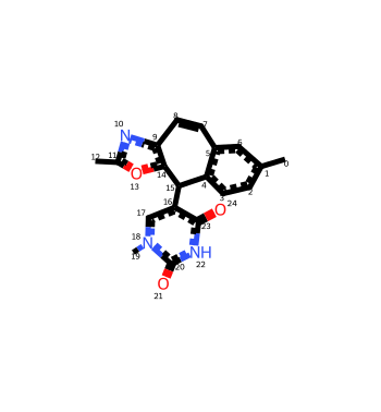 Cc1ccc2c(c1)C=Cc1nc(C)oc1C2c1cn(C)c(=O)[nH]c1=O